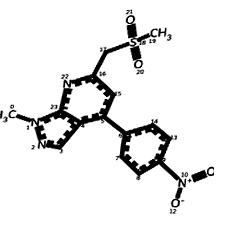 Cn1ncc2c(-c3ccc([N+](=O)[O-])cc3)cc(CS(C)(=O)=O)nc21